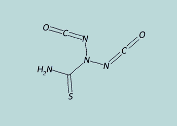 NC(=S)N(N=C=O)N=C=O